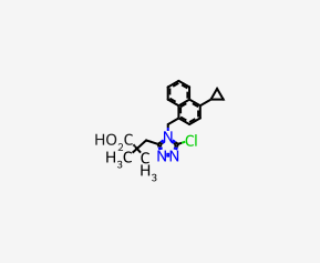 CC(C)(Cc1nnc(Cl)n1Cc1ccc(C2CC2)c2ccccc12)C(=O)O